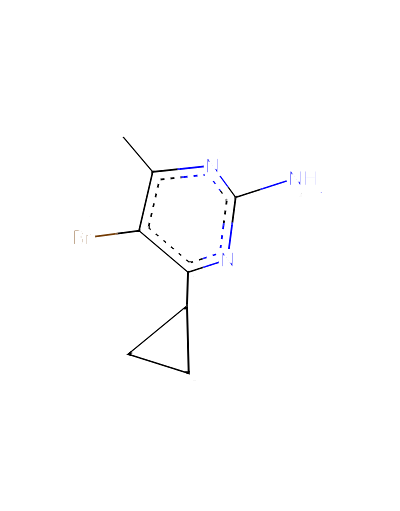 Cc1nc(N)nc(C2CC2)c1Br